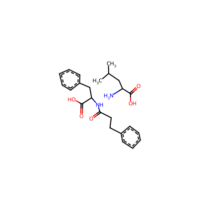 CC(C)CC(N)C(=O)O.O=C(CCc1ccccc1)NC(Cc1ccccc1)C(=O)O